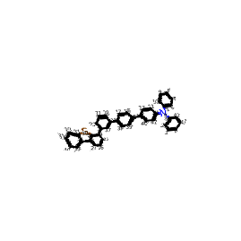 c1ccc(N(c2ccccc2)c2ccc(-c3ccc(-c4cccc(-c5cccc6c5sc5ccccc56)c4)cc3)cc2)cc1